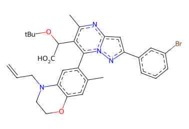 C=CCN1CCOc2cc(C)c(-c3c(C(OC(C)(C)C)C(=O)O)c(C)nc4cc(-c5cccc(Br)c5)nn34)cc21